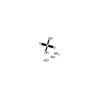 Cl.N.O=S(=O)(O)O.[Na+]